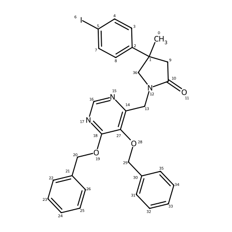 CC1(c2ccc(I)cc2)CC(=O)N(Cc2ncnc(OCc3ccccc3)c2OCc2ccccc2)C1